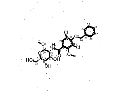 COc1c(C(=O)N[C@H]2[C@@H](OC)O[C@H](CO)[C@@H](O)[C@@H]2O)cc(Cl)c(OCc2ccccc2)c1Cl